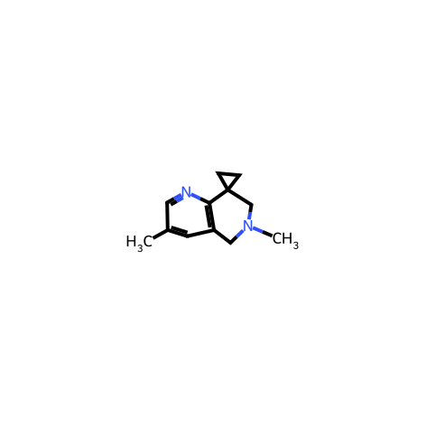 Cc1cnc2c(c1)CN(C)CC21CC1